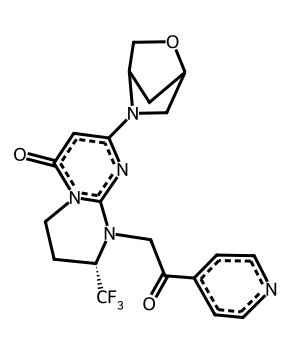 O=C(CN1c2nc(N3CC4CC3CO4)cc(=O)n2CC[C@H]1C(F)(F)F)c1ccncc1